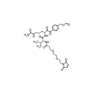 CC(C)[C@H](NC(=O)CCOCCOCCN1C(=O)C=CC1=O)C(=O)N[C@@H](CCCNC(N)=O)C(=O)Nc1ccc(COC=O)cc1